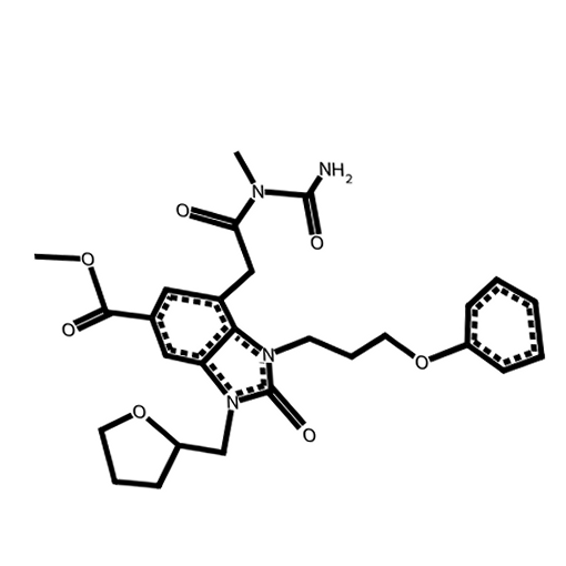 COC(=O)c1cc(CC(=O)N(C)C(N)=O)c2c(c1)n(CC1CCCO1)c(=O)n2CCCOc1ccccc1